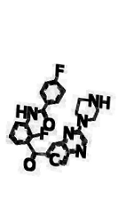 O=C(Nc1cccc(C(=O)c2ccc3ncc(N4CCNCC4)nc3c2)c1F)c1ccc(F)cc1